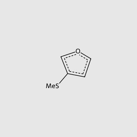 CSc1ccoc1